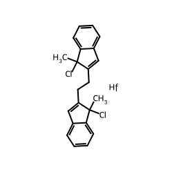 CC1(Cl)C(CCC2=Cc3ccccc3C2(C)Cl)=Cc2ccccc21.[Hf]